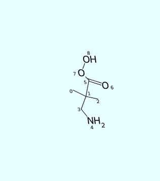 CC(C)(CN)C(=O)OO